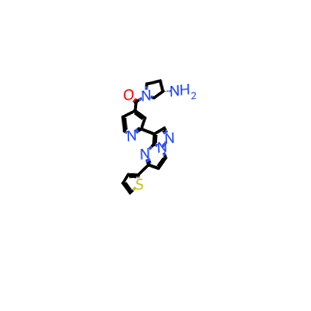 N[C@H]1CCN(C(=O)c2ccnc(-c3cnn4ccc(-c5cccs5)nc34)c2)C1